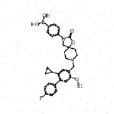 CCOc1cc(-c2ccc(F)cc2)c(C2CC2)cc1CN1CCC2(CC1)CN(c1ccc(B(O)O)cc1)C(=O)O2